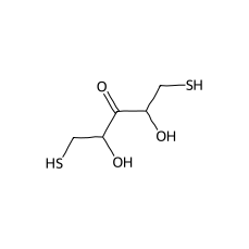 O=C(C(O)CS)C(O)CS